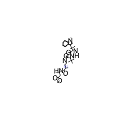 COC(=O)CC(C)NC(=O)/C(C)=C/CN(C)C(=O)C(NC(=O)C(N(C)C)C(C)(C)c1cn(C)c2ccccc12)C(C)(C)C